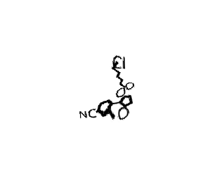 Cc1cc(C#N)ccc1C1=C(OC(=O)CCCCCCl)CCC1=O